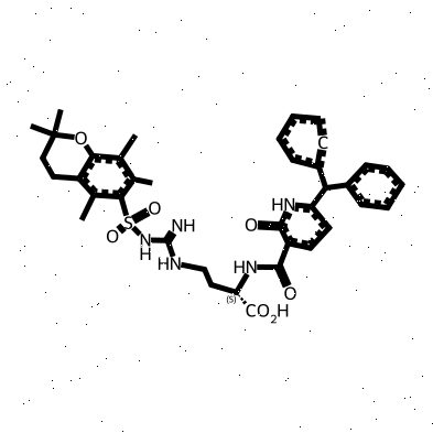 Cc1c(C)c(S(=O)(=O)NC(=N)NCC[C@H](NC(=O)c2ccc(C(c3ccccc3)c3ccccc3)[nH]c2=O)C(=O)O)c(C)c2c1OC(C)(C)CC2